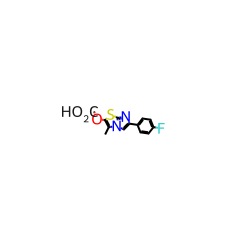 Cc1c(OC(=O)O)sc2nc(-c3ccc(F)cc3)cn12